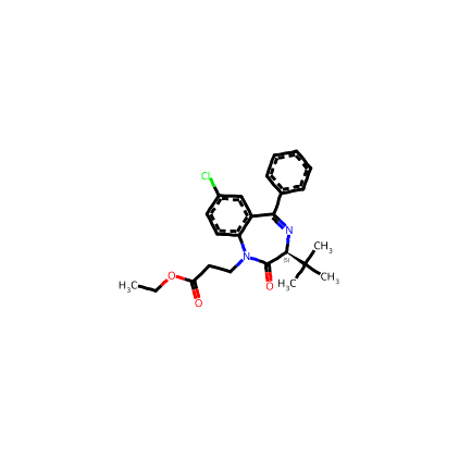 CCOC(=O)CCN1C(=O)[C@H](C(C)(C)C)N=C(c2ccccc2)c2cc(Cl)ccc21